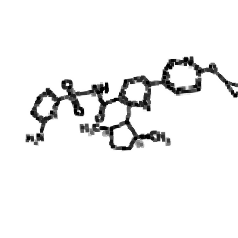 C[C@@H]1CC[C@H](C)C1c1nc(-c2ccc(OC3CC3)nc2)ccc1C(=O)NS(=O)(=O)c1cccc(N)n1